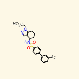 CC(=O)c1cccc(-c2ccc(S(=O)(=O)NC3CCCc4c3cnn4CC(=O)O)cc2)c1